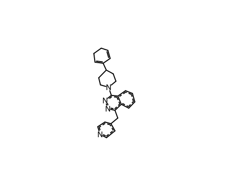 C1=CC(C2CCN(c3nnc(Cc4ccncc4)c4ccccc34)CC2)=CCC1